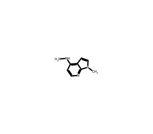 Cn1ccc2c(NN)ccnc21